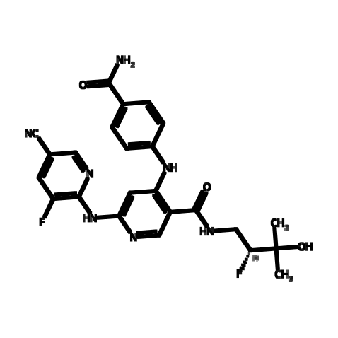 CC(C)(O)[C@H](F)CNC(=O)c1cnc(Nc2ncc(C#N)cc2F)cc1Nc1ccc(C(N)=O)cc1